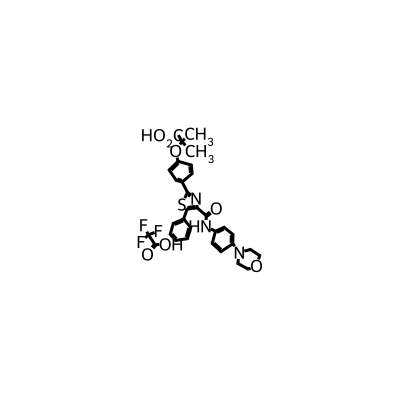 CC(C)(Oc1ccc(-c2nc(C(=O)Nc3ccc(N4CCOCC4)cc3)c(-c3ccccc3)s2)cc1)C(=O)O.O=C(O)C(F)(F)F